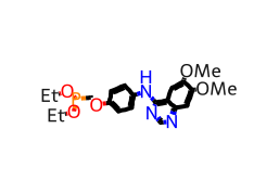 CCOP(COc1ccc(Nc2ncnc3cc(OC)c(OC)cc23)cc1)OCC